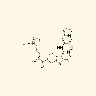 CN(C)CCCN(C)C(=O)C1CCc2c(sc3ncnc(Nc4cc5ccnn5cc4Cl)c23)C1